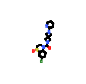 O=C(N1CC2(C1)CN(c1ccccn1)C2)N1CC[S+]([O-])c2cc(Cl)ccc21